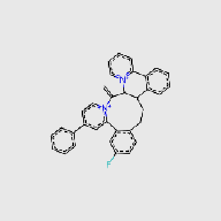 C=C1C2C(CCc3ccc(F)cc3-c3cc(-c4ccccc4)cc[n+]31)c1ccccc1-c1cccc[n+]12